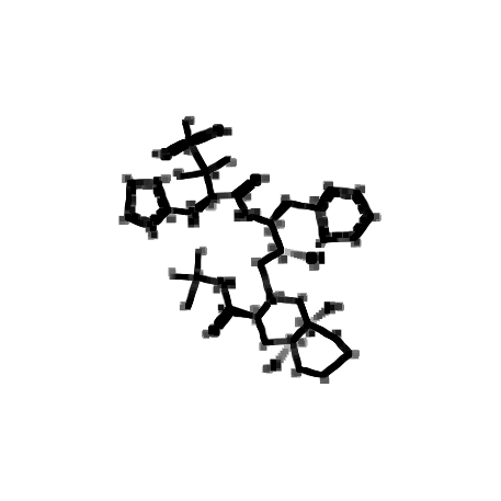 CC(C)(C)NC(=O)[C@@H]1C[C@@H]2CCCC[C@@H]2CN1C[C@@H](O)[C@H](Cc1ccccc1)NC(=O)[C@@H](Nc1nccs1)C(C)(C)S(C)(=O)=O